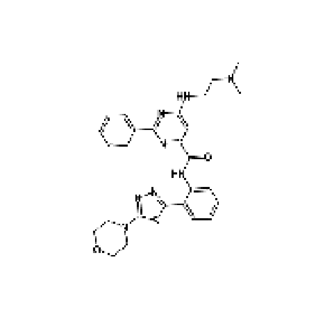 CN(C)CCNc1cc(C(=O)Nc2ccccc2-c2nnc(N3CCOCC3)s2)nc(-c2ccccc2)n1